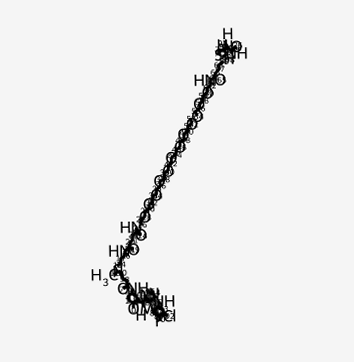 COc1ccc(NC(=O)/C=C/CN(C)CCCCNC(=O)CCCC(=O)NCCOCCOCCOCCOCCOCCOCCOCCOCCOCOCCOCCOCCNC(=O)CCCC[C@@H]2SC[C@@H]3NC(=O)N[C@@H]32)cc1Nc1cc(Nc2ccc(F)c(Cl)c2)ncn1